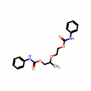 CC(COC(=O)Nc1ccccc1)OCCOC(=O)Nc1ccccc1